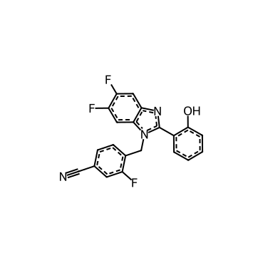 N#Cc1ccc(Cn2c(-c3ccccc3O)nc3cc(F)c(F)cc32)c(F)c1